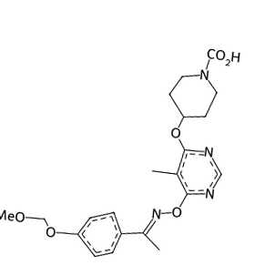 COCOc1ccc(C(C)=NOc2ncnc(OC3CCN(C(=O)O)CC3)c2C)cc1